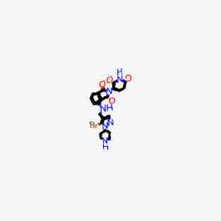 O=C1CCC(N2C(=O)c3cccc(NCc4cnn(C5CCNCC5)c4Br)c3C2=O)C(=O)N1